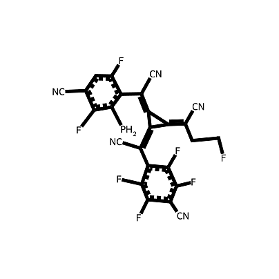 N#CC(CCF)=C1C(=C(/C#N)c2c(F)c(F)c(C#N)c(F)c2F)/C1=C(/C#N)c1c(F)cc(C#N)c(F)c1P